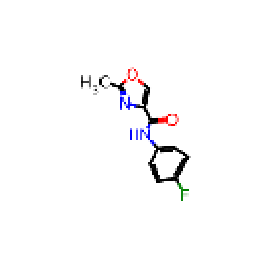 Cc1nc(C(=O)Nc2ccc(F)cc2)co1